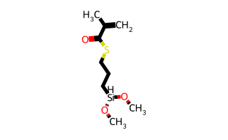 C=C(C)C(=O)SCCC[SiH](OC)OC